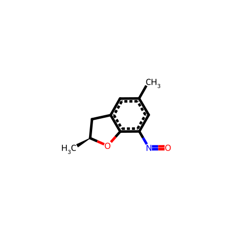 Cc1cc2c(c(N=O)c1)O[C@@H](C)C2